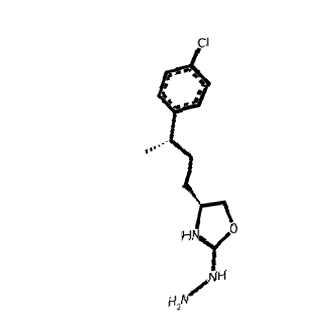 C[C@@H](CC[C@H]1COC(NN)N1)c1ccc(Cl)cc1